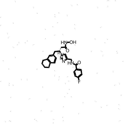 O=C(C[C@@H](Cc1ccc2c(c1)CCCC2)n1cc(CNC(=O)c2ccc(F)cc2)nn1)NO